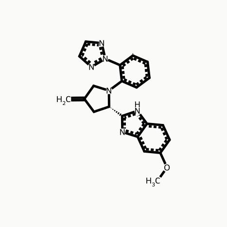 C=C1C[C@@H](c2nc3cc(OC)ccc3[nH]2)N(c2ccc[c]c2-n2nccn2)C1